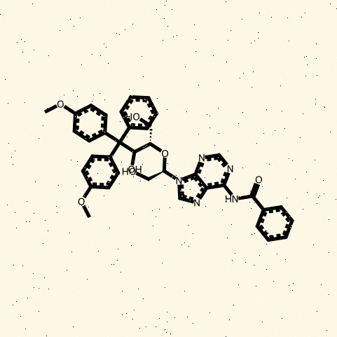 COc1ccc(C(c2ccccc2)(c2ccc(OC)cc2)C(O)[C@H](CO)O[C@H](CO)n2cnc3c(NC(=O)c4ccccc4)ncnc32)cc1